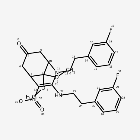 COC1(OC)C2CC(=O)CC1N(CCc1cccc(F)c1)C(NCCc1cccc(F)c1)=C2[N+](=O)[O-]